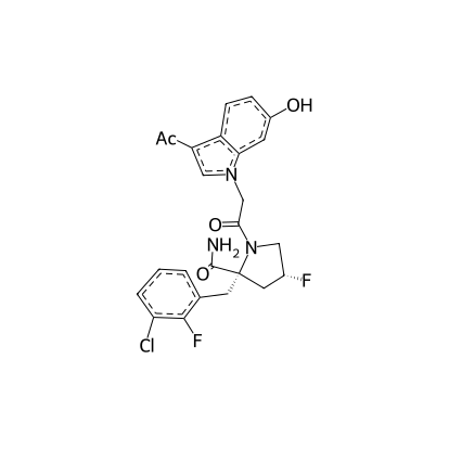 CC(=O)c1cn(CC(=O)N2C[C@H](F)C[C@@]2(Cc2cccc(Cl)c2F)C(N)=O)c2cc(O)ccc12